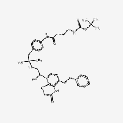 CC(C)(Cc1ccc(NC(=O)CCCNC(=O)OC(C)(C)C)cc1)NCC(O)c1ccc(OCc2ccccc2)c2c1OCC(=O)N2